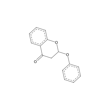 O=C1CC(Oc2ccccc2)Oc2ccccc21